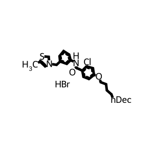 Br.CCCCCCCCCCCCCCOc1ccc(C(=O)Nc2cccc(CN3C=C(C)SC3)c2)c(Cl)c1